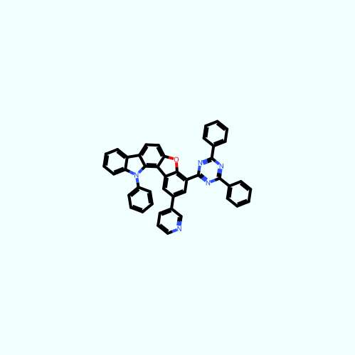 c1ccc(-c2nc(-c3ccccc3)nc(-c3cc(-c4cccnc4)cc4c3oc3ccc5c6ccccc6n(-c6ccccc6)c5c34)n2)cc1